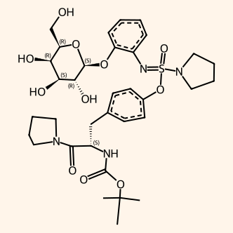 CC(C)(C)OC(=O)N[C@@H](Cc1ccc(OS(=O)(=Nc2ccccc2O[C@@H]2O[C@H](CO)[C@H](O)[C@H](O)[C@H]2O)N2CCCC2)cc1)C(=O)N1CCCC1